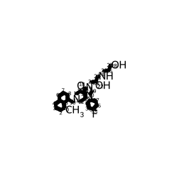 Cc1cccc2cccc(CN3CCC4(CC3)C(=O)N(C[C@@H](O)CNCCCO)CN4c3ccc(F)cc3)c12